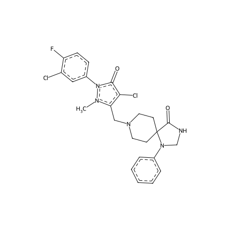 Cn1c(CN2CCC3(CC2)C(=O)NCN3c2ccccc2)c(Cl)c(=O)n1-c1ccc(F)c(Cl)c1